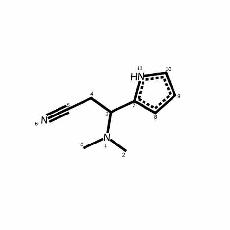 CN(C)C(CC#N)c1ccc[nH]1